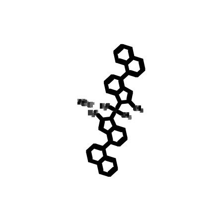 CC1=Cc2c(-c3cccc4ccccc34)cccc2C1[Si](C)(C)C1C(C)=Cc2c(-c3cccc4ccccc34)cccc21.[Cl-].[Cl-].[Zr+2]